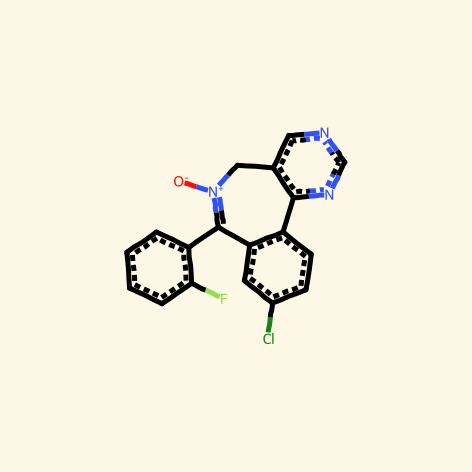 [O-][N+]1=C(c2ccccc2F)c2cc(Cl)ccc2-c2ncncc2C1